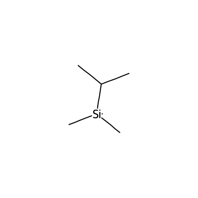 CC(C)[Si](C)C